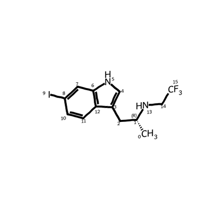 C[C@H](Cc1c[nH]c2cc(I)ccc12)NCC(F)(F)F